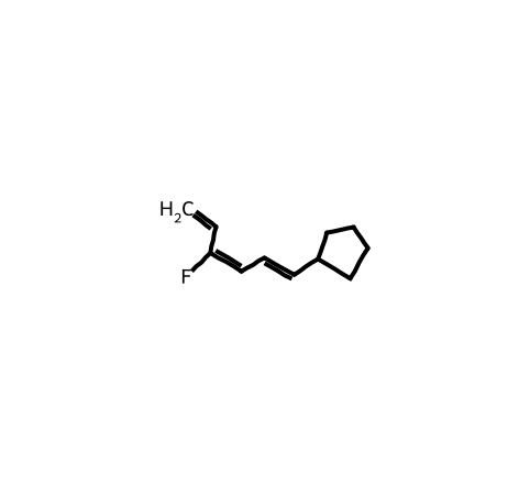 C=C/C(F)=C\C=C\C1CCCC1